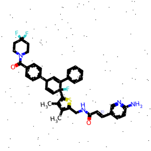 Cc1c(CNC(=O)/C=C/c2ccc(N)nc2)sc(C2(F)C=CC(c3ccc(C(=O)N4CCC(F)(F)CC4)cc3)C=C2c2ccccc2)c1C